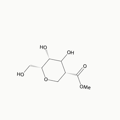 COC(=O)[C@@H]1CO[C@H](CO)[C@H](O)C1O